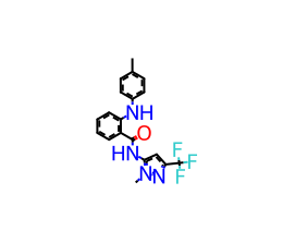 Cc1ccc(Nc2ccccc2C(=O)Nc2cc(C(F)(F)F)nn2C)cc1